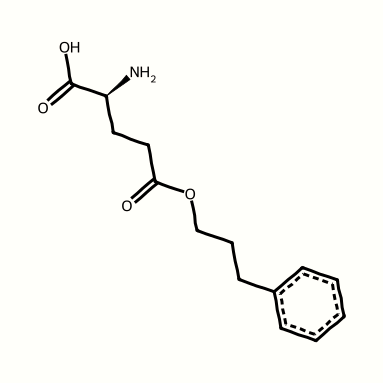 N[C@@H](CCC(=O)OCCCc1ccccc1)C(=O)O